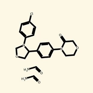 NC=O.NC=O.O=C1COCCN1c1ccc(C2COCN2c2ccc(Cl)cc2)cc1